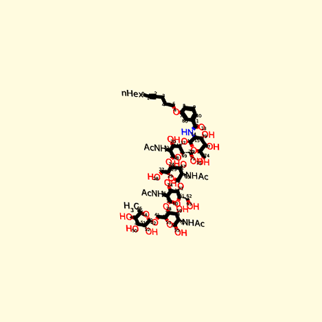 CCCCCCC#CCCCOc1cccc(C(=O)NC2[C@H](O[C@H]3C(O)C(NC(C)=O)C(OC4C(CO)O[C@@H](O[C@H]5C(O)C(NC(C)=O)C(OC6C(CO[C@@H]7OC(C)C(O)[C@H](O)[C@H]7O)OC(O)[C@@H](NC(C)=O)[C@H]6O)O[C@H]5CO)[C@@H](NC(C)=O)[C@H]4O)O[C@H]3CO)OC(CO)[C@@H](O)[C@@H]2O)c1